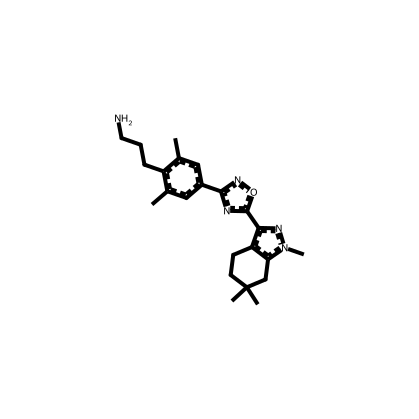 Cc1cc(-c2noc(-c3nn(C)c4c3CCC(C)(C)C4)n2)cc(C)c1CCCN